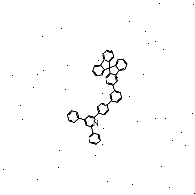 c1ccc(-c2cc(-c3ccccc3)nc(-c3ccc(-c4cccc(-c5ccc6c(c5)-c5ccccc5C65c6ccccc6-c6ccccc65)c4)cc3)c2)cc1